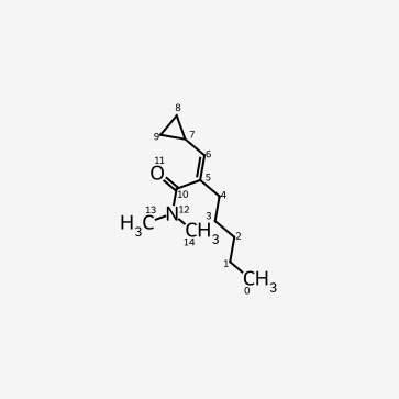 CCCCCC(=CC1CC1)C(=O)N(C)C